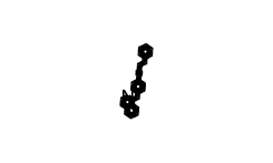 C(#Cc1ccc(Cc2nccc3ccccc23)cc1)CCc1ccccc1